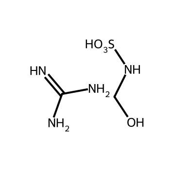 N=C(N)N.O=S(=O)(O)NCO